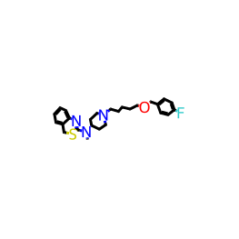 CN(C1=Nc2ccccc2CS1)C1CCN(CCCCCOCc2ccc(F)cc2)CC1